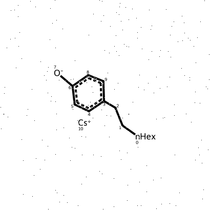 CCCCCCCCc1ccc([O-])cc1.[Cs+]